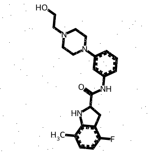 Cc1ccc(F)c2c1NC(C(=O)Nc1cccc(N3CCN(CCO)CC3)c1)C2